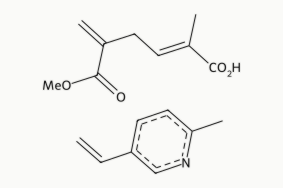 C=C(CC=C(C)C(=O)O)C(=O)OC.C=Cc1ccc(C)nc1